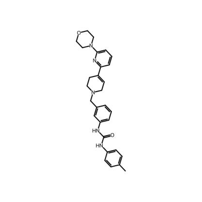 Cc1ccc(NC(=O)Nc2cccc(CN3CC=C(c4cccc(N5CCOCC5)n4)CC3)c2)cc1